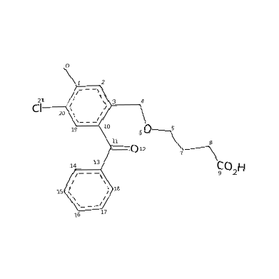 Cc1cc(COCCCC(=O)O)c(C(=O)c2ccccc2)cc1Cl